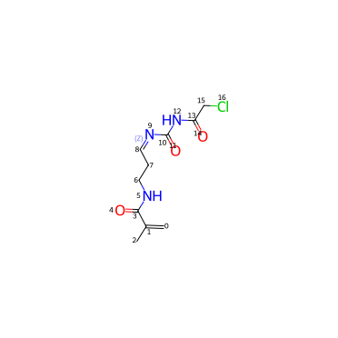 C=C(C)C(=O)NCC/C=N\C(=O)NC(=O)CCl